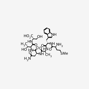 CSCC[C@H](N)C(=O)N[C@@H](Cc1c[nH]c2ccccc12)C(=O)N[C@@H](C)C(=O)N[C@@H](CC(N)=O)C(=O)N[C@H](C(=O)N[C@@H](CO)C(=O)O)[C@@H](C)O